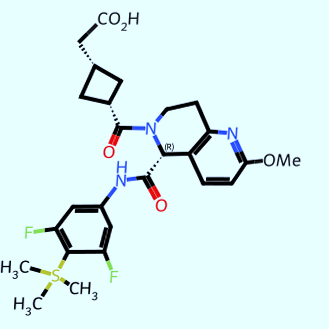 COc1ccc2c(n1)CCN(C(=O)[C@H]1C[C@@H](CC(=O)O)C1)[C@H]2C(=O)Nc1cc(F)c(S(C)(C)C)c(F)c1